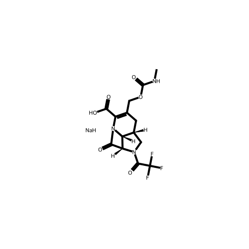 CNC(=O)OCC1=C(C(=O)O)N2C(=O)[C@@H]3[C@H]2[C@H](C1)CN3C(=O)C(F)(F)F.[NaH]